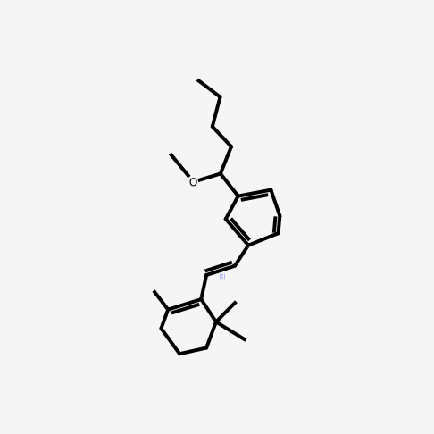 CCCCC(OC)c1cccc(/C=C/C2=C(C)CCCC2(C)C)c1